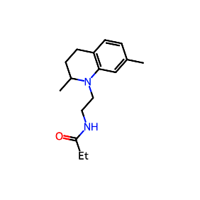 CCC(=O)NCCN1c2cc(C)ccc2CCC1C